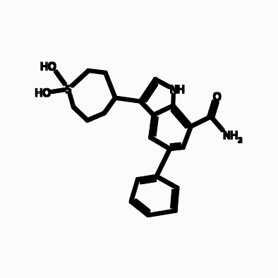 NC(=O)c1cc(-c2ccccc2)cc2c(C3CCCS(O)(O)CC3)c[nH]c12